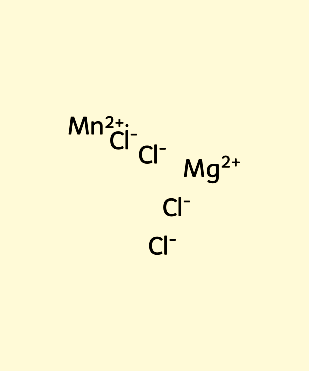 [Cl-].[Cl-].[Cl-].[Cl-].[Mg+2].[Mn+2]